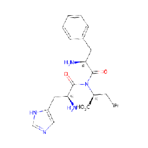 CC(C)C[C@@H](C(=O)O)N(C(=O)[C@@H](N)Cc1ccccc1)C(=O)[C@@H](N)Cc1cnc[nH]1